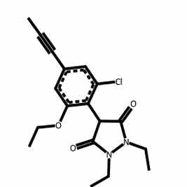 CC#Cc1cc(Cl)c(C2C(=O)N(CC)N(CC)C2=O)c(OCC)c1